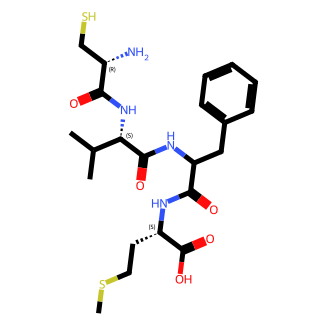 CSCC[C@H](NC(=O)C(Cc1ccccc1)NC(=O)[C@@H](NC(=O)[C@@H](N)CS)C(C)C)C(=O)O